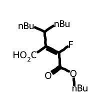 CCCCOC(=O)/C(F)=C(\C(=O)O)C(CCCC)CCCC